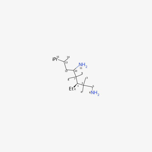 CC[C@H](C(C)(C)CN)C(C)(C)C(N)CC(C)C(C)C